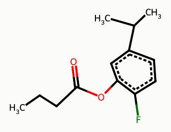 CCCC(=O)Oc1cc(C(C)C)ccc1F